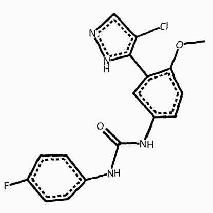 COc1ccc(NC(=O)Nc2ccc(F)cc2)cc1-c1[nH]ncc1Cl